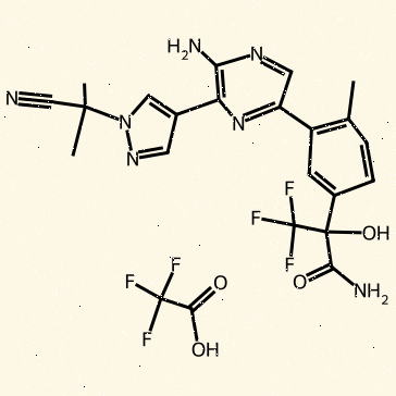 Cc1ccc(C(O)(C(N)=O)C(F)(F)F)cc1-c1cnc(N)c(-c2cnn(C(C)(C)C#N)c2)n1.O=C(O)C(F)(F)F